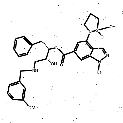 CCn1ncc2c(N3CCCS3(O)O)cc(C(=O)N[C@@H](Cc3ccccc3)[C@H](O)CNCc3cccc(OC)c3)cc21